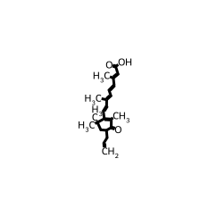 C=CCC1CC(C)(C)C(/C=C/C(C)=C/C=C/C(C)=C/C(=O)O)=C(C)C1=O